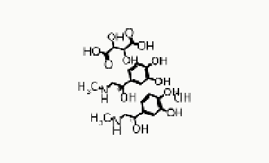 CNC[C@H](O)c1ccc(O)c(O)c1.CNC[C@H](O)c1ccc(O)c(O)c1.Cl.O=C(O)C(O)C(O)C(=O)O